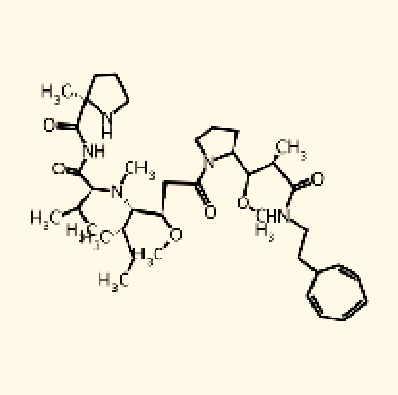 CC[C@H](C)[C@@H]([C@@H](CC(=O)N1CCC[C@H]1[C@H](OC)[C@@H](C)C(=O)NCCC1C=CC=CC=C1)OC)N(C)[C@H](C(=O)NC(=O)[C@@]1(C)CCCN1)C(C)C